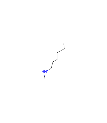 [CH2]CCCCCN[CH2]